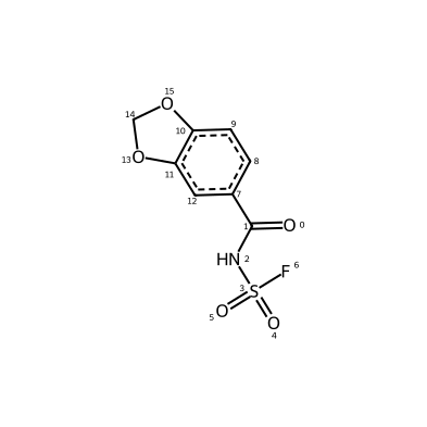 O=C(NS(=O)(=O)F)c1ccc2c(c1)OCO2